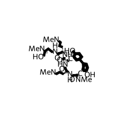 CNCCC[C@H](NC(=O)[C@@H]1Cc2cc(ccc2O)-c2ccc(O)c(c2)C[C@H](NC)C(=O)N[C@@H](CCCNC)C(=O)N1)C(=O)NCC[C@@H](CO)NC